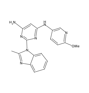 COc1ccc(Nc2cc(N)nc(-n3c(C)nc4ccccc43)n2)cn1